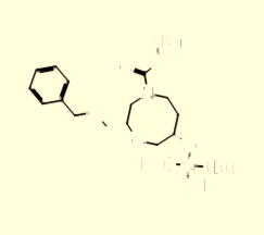 CC(C)(C)OC(=O)N1CC[C@@H](O[Si](C)(C)C(C)(C)C)CO[C@H](COCc2ccccc2)C1